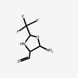 NC1OC(C(F)(F)F)NC1C=O